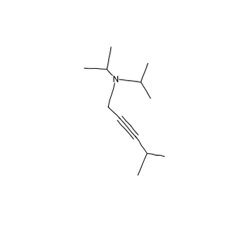 CC(C)C#CCN(C(C)C)C(C)C